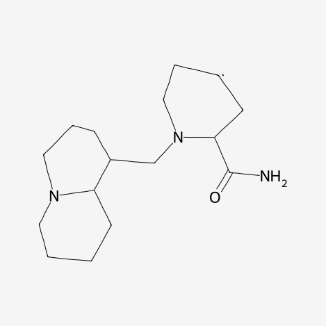 NC(=O)C1C[CH]CCN1CC1CCCN2CCCCC12